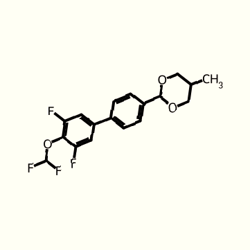 CC1COC(c2ccc(-c3cc(F)c(OC(F)F)c(F)c3)cc2)OC1